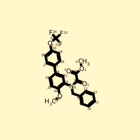 COC(=O)C(=O)N(Cc1ccccc1)c1cc(-c2ccc(OC(F)(F)F)cc2)ccc1OC